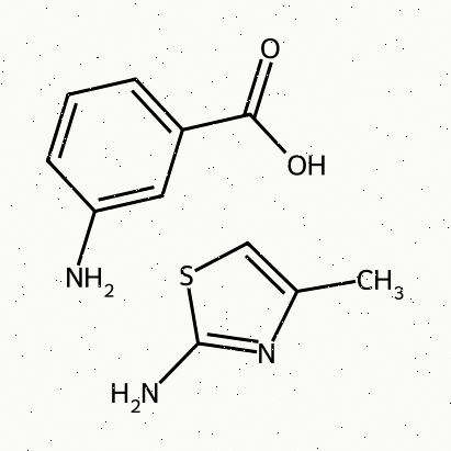 Cc1csc(N)n1.Nc1cccc(C(=O)O)c1